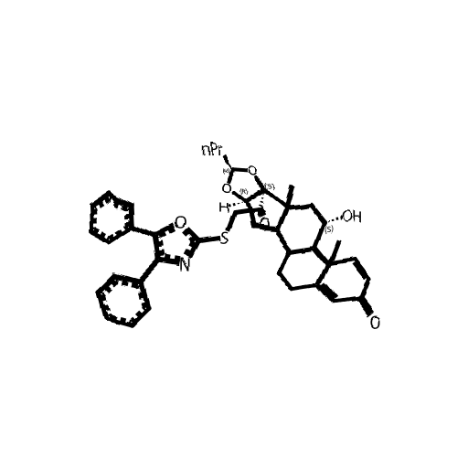 CCC[C@@H]1O[C@@H]2CC3C4CCC5=CC(=O)C=CC5(C)C4[C@@H](O)CC3(C)[C@]2(C(=O)CSc2nc(-c3ccccc3)c(-c3ccccc3)o2)O1